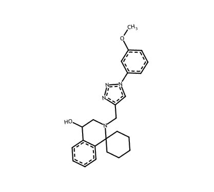 COc1cccc(-n2cc(CN3CC(O)c4ccccc4C34CCCCC4)nn2)c1